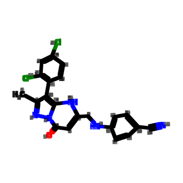 Cc1nn2c(=O)cc(CNc3ccc(C#N)cc3)[nH]c2c1-c1ccc(Cl)cc1Cl